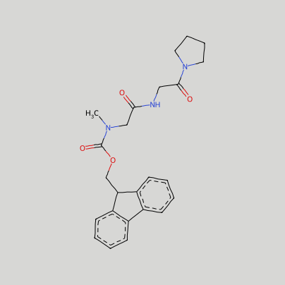 CN(CC(=O)NCC(=O)N1CCCC1)C(=O)OCC1c2ccccc2-c2ccccc21